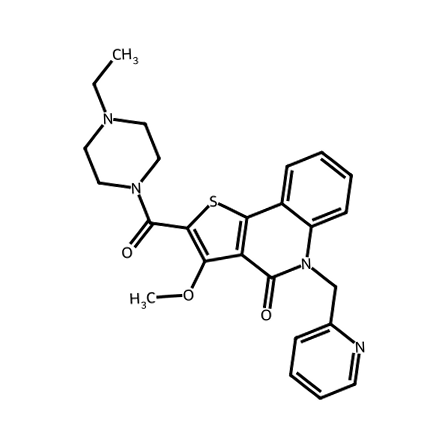 CCN1CCN(C(=O)c2sc3c(c2OC)c(=O)n(Cc2ccccn2)c2ccccc32)CC1